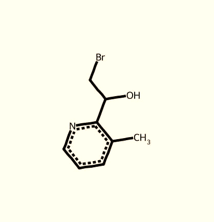 Cc1cccnc1C(O)CBr